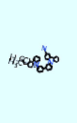 CC(C)(C)CC1=Cc2c(n(-c3cccc(-c4cccc(-n5c6ccccc6c6cc(C#N)ccc65)c4)c3)c3ccccc23)CC1